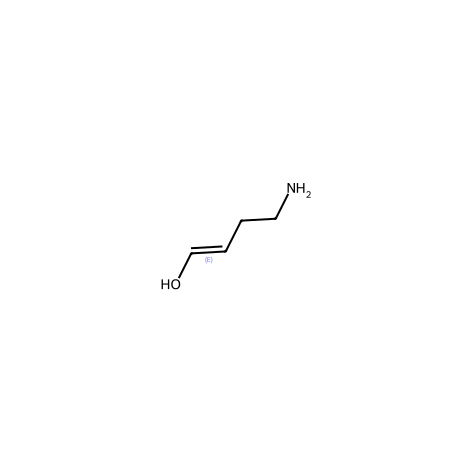 NCC/C=C/O